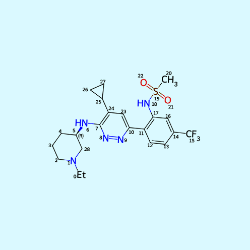 CCN1CCC[C@@H](Nc2nnc(-c3ccc(C(F)(F)F)cc3NS(C)(=O)=O)cc2C2CC2)C1